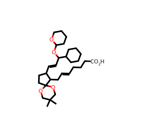 CC1(C)COC2(CCC(C=CC(OC3CCCCO3)C3CCCCC3)C2CC=CCCCC(=O)O)OC1